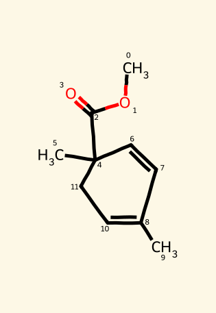 COC(=O)C1(C)C=CC(C)=CC1